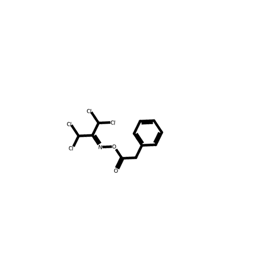 O=C(Cc1ccccc1)ON=C(C(Cl)Cl)C(Cl)Cl